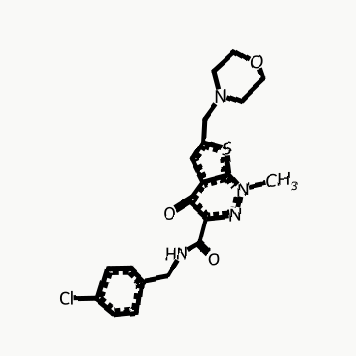 Cn1nc(C(=O)NCc2ccc(Cl)cc2)c(=O)c2cc(CN3CCOCC3)sc21